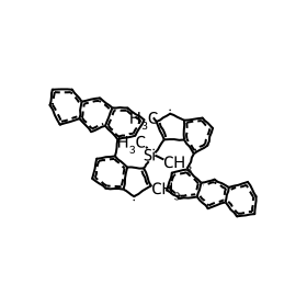 CC1=C([Si](C)(C)C2=C(C)[CH]c3cccc(-c4cccc5cc6ccccc6cc45)c32)c2c(cccc2-c2cccc3cc4ccccc4cc23)[CH]1